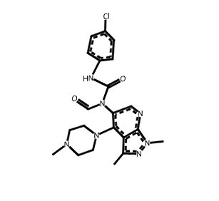 Cc1nn(C)c2ncc(N(C=O)C(=O)Nc3ccc(Cl)cc3)c(N3CCN(C)CC3)c12